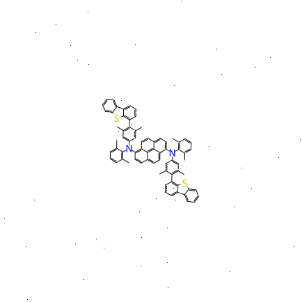 Cc1cc(N(c2c(C)cccc2C)c2ccc3ccc4c(N(c5cc(C)c(-c6cccc7c6sc6ccccc67)c(C)c5)c5c(C)cccc5C)ccc5ccc2c3c54)cc(C)c1-c1cccc2c1sc1ccccc12